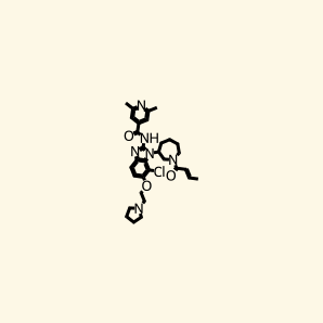 CC=CC(=O)N1CCCCC(n2c(NC(=O)c3cc(C)nc(C)c3)nc3ccc(OCCN4CCCC4)c(Cl)c32)C1